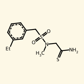 CCc1cccc(CS(=O)(=O)N(C)CC(N)=S)c1